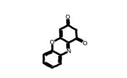 O=C1C=C2Oc3ccccc3N=C2C(=O)C1